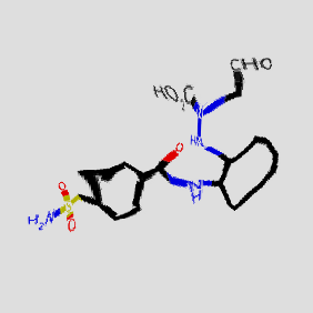 NS(=O)(=O)c1ccc(C(=O)NC2CCCCC2NN(CC=O)C(=O)O)cc1